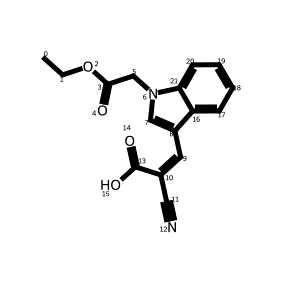 CCOC(=O)Cn1cc(/C=C(/C#N)C(=O)O)c2ccccc21